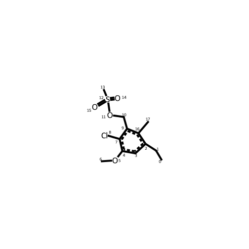 CCc1cc(OC)c(Cl)c(COS(C)(=O)=O)c1C